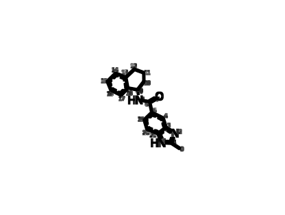 Cc1nc2cc(C(=O)N[C@H]3CCCc4ccccc43)ccc2[nH]1